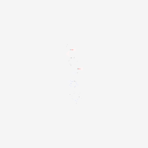 CC(C)(C)C(=O)Oc1ccc(C(=O)NCc2nc(-c3ccncc3)n[nH]2)cc1